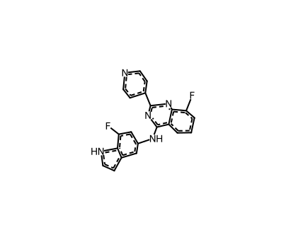 Fc1cccc2c(Nc3cc(F)c4[nH]ccc4c3)nc(-c3ccncc3)nc12